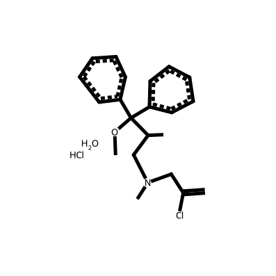 C=C(Cl)CN(C)CC(C)C(OC)(c1ccccc1)c1ccccc1.Cl.O